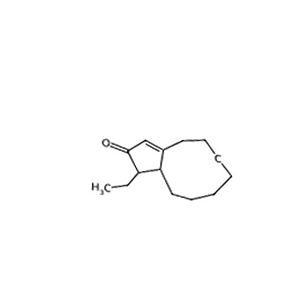 CCC1C(=O)C=C2CCCCCCCC21